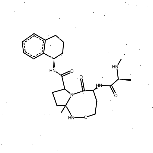 CN[C@@H](C)C(=O)N[C@H]1CCCNC2(C)CCC(C(=O)N[C@@H]3CCCc4ccccc43)N2C1=O